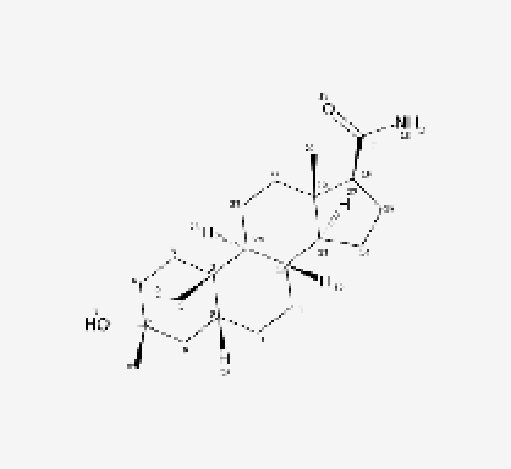 CC[C@]12CC[C@@](C)(O)C[C@H]1CC[C@H]1[C@@H]3CC[C@H](C(N)=O)[C@@]3(C)CC[C@@H]12